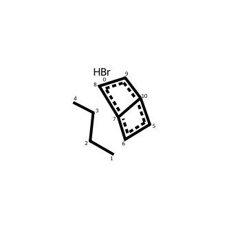 Br.CCCC.c1cc2ccc1-2